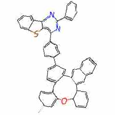 C[C@H]1C=C2OC3C=CC=CC3c3cc4ccccc4cc3-c3cc(-c4ccc(-c5nc(-c6ccccc6)nc6c5sc5ccccc56)cc4)ccc3C2=CC1